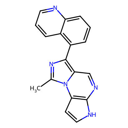 Cc1nc(-c2cccc3ncccc23)c2cnc3[nH]ccc3n12